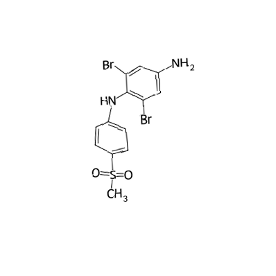 CS(=O)(=O)c1ccc(Nc2c(Br)cc(N)cc2Br)cc1